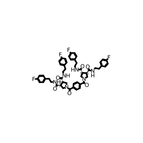 O=C(NCCc1ccc(F)cc1)[C@H]1CN(C(=O)c2ccc(C(=O)N3C[C@@H](C(=O)NCCc4ccc(F)cc4)[C@H](C(=O)NCCc4ccc(F)cc4)C3)cc2)C[C@@H]1C(=O)NCCc1ccc(F)cc1